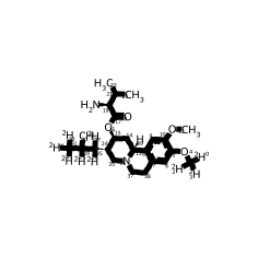 [2H]C([2H])([2H])Oc1cc2c(cc1OC)[C@@H]1C[C@H](OC(=O)[C@@H](N)C(C)C)[C@@H](C([2H])([2H])C([2H])(C)C([2H])([2H])[2H])CN1CC2